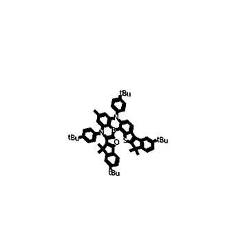 Cc1cc2c3c(c1)N(c1ccc(C(C)(C)C)cc1)c1c(oc4c1C(C)(C)c1cc(C(C)(C)C)ccc1-4)B3c1c(ccc3c4c(sc13)C(C)(C)c1ccc(C(C)(C)C)cc1-4)N2c1ccc(C(C)(C)C)cc1